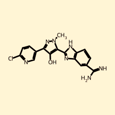 Cn1nc(-c2ccc(Cl)nc2)c(O)c1-c1nc2cc(C(=N)N)ccc2[nH]1